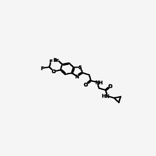 O=C(Cc1nc2cc(OC(F)F)c(Br)cc2s1)NCC(=O)NC1CC1